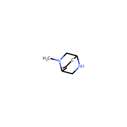 CN1CC2CC=C1CN2